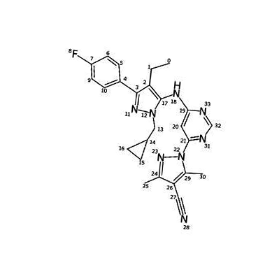 CCc1c(-c2ccc(F)cc2)nn(CC2CC2)c1Nc1cc(-n2nc(C)c(C#N)c2C)ncn1